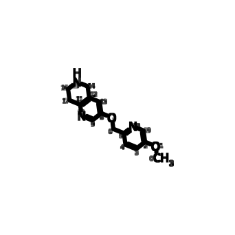 COc1ccc(COc2cnc3c(c2)CNCC3)nc1